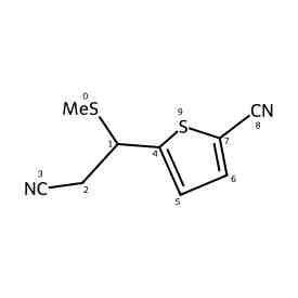 CSC(CC#N)c1ccc(C#N)s1